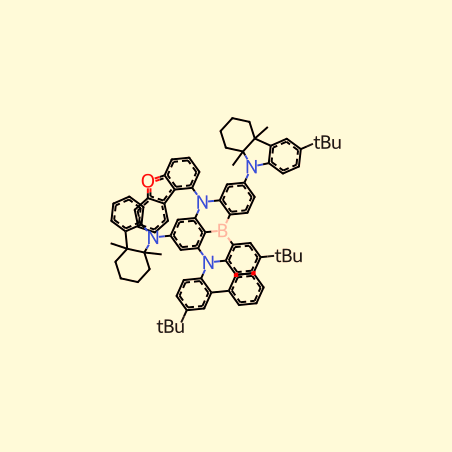 CC(C)(C)c1ccc2c(c1)B1c3ccc(N4c5ccc(C(C)(C)C)cc5C5(C)CCCCC45C)cc3N(c3cccc4oc5ccccc5c34)c3cc(N4c5ccccc5C5(C)CCCCC45C)cc(c31)N2c1ccc(C(C)(C)C)cc1-c1ccccc1